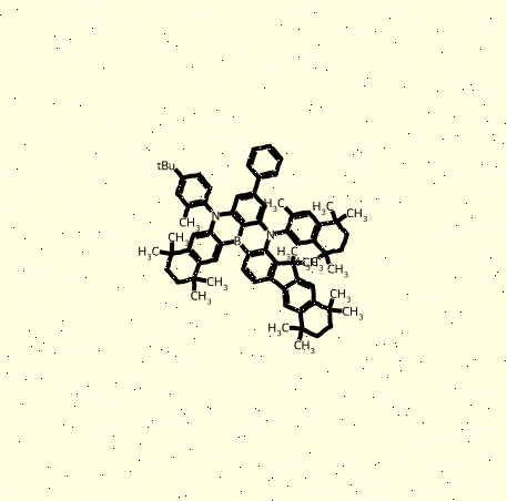 Cc1cc(C(C)(C)C)ccc1N1c2cc3c(cc2B2c4ccc5c(c4N(c4cc6c(cc4C)C(C)(C)CCC6(C)C)c4cc(-c6ccccc6)cc1c42)C(C)(C)c1cc2c(cc1-5)C(C)(C)CCC2(C)C)C(C)(C)CCC3(C)C